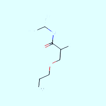 COCCOCC(C)C(=O)N[C@H](C)C(C)C